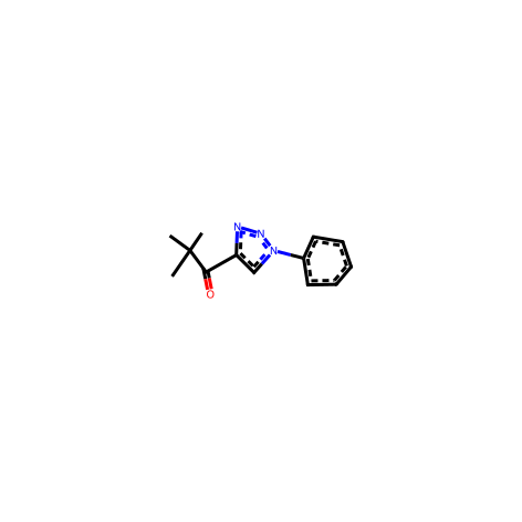 CC(C)(C)C(=O)c1cn(-c2ccccc2)nn1